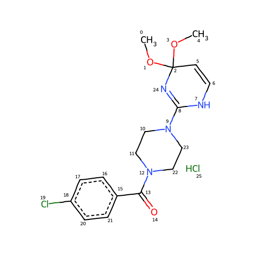 COC1(OC)C=CNC(N2CCN(C(=O)c3ccc(Cl)cc3)CC2)=N1.Cl